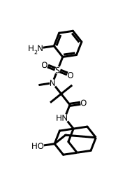 CN(C(C)(C)C(=O)NC12CC3CC(CC(O)(C3)C1)C2)S(=O)(=O)c1ccccc1N